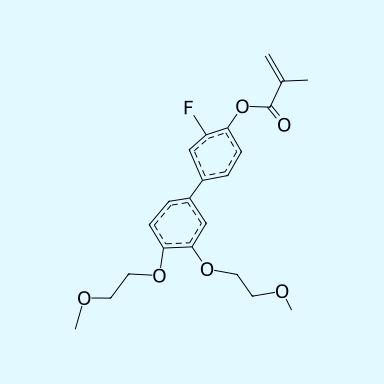 C=C(C)C(=O)Oc1ccc(-c2ccc(OCCOC)c(OCCOC)c2)cc1F